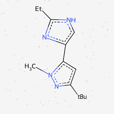 CCc1nc(-c2cc(C(C)(C)C)nn2C)c[nH]1